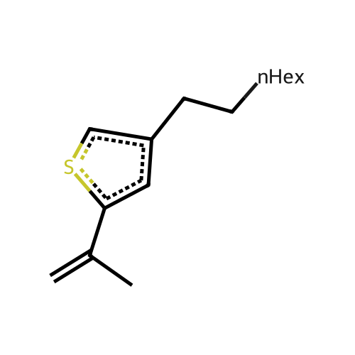 C=C(C)c1cc(CCCCCCCC)cs1